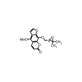 COc1c2ccoc2c(OC[C@H]2OC2(C)C)c2oc(=O)ccc12